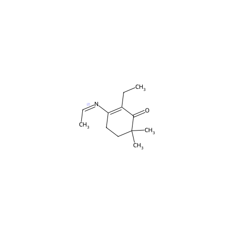 C/C=N\C1=C(CC)C(=O)C(C)(C)CC1